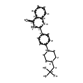 O=c1[nH]c(-c2ccc(N3CCN(CC(F)(F)F)CC3)cc2)nc2ccccc12